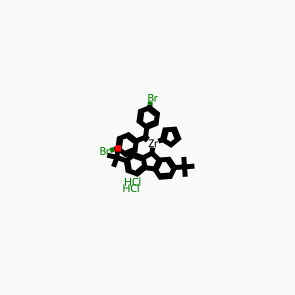 CC(C)(C)c1ccc2c(c1)[CH]([Zr]([C]1=CC=CC1)=[C](c1ccc(Br)cc1)c1ccc(Br)cc1)c1cc(C(C)(C)C)ccc1-2.Cl.Cl